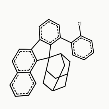 Clc1ccccc1-c1cccc2c1C1(c3c-2ccc2ccccc32)C2CC3CC(C2)CC1C3